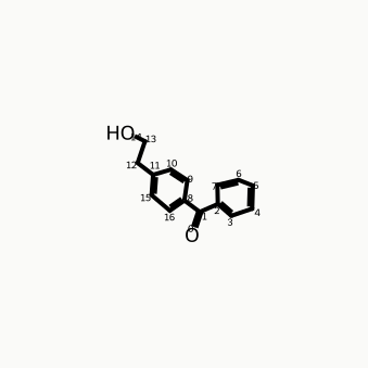 O=C(c1ccccc1)c1ccc(CCO)cc1